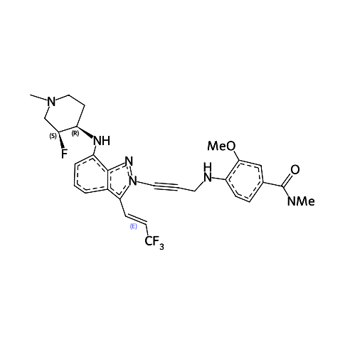 CNC(=O)c1ccc(NCC#Cn2nc3c(N[C@@H]4CCN(C)C[C@@H]4F)cccc3c2/C=C/C(F)(F)F)c(OC)c1